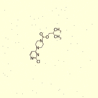 CC(C)COC(=O)N1CCN(c2ccnc(Cl)n2)CC1